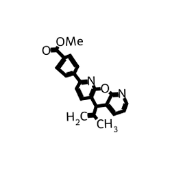 C=C(C)C1c2cccnc2Oc2nc(-c3ccc(C(=O)OC)cc3)ccc21